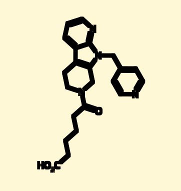 O=C(O)CCCCC(=O)N1CCc2c(n(Cc3ccncc3)c3ncccc23)C1